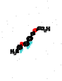 Cc1ccc(Oc2cc(F)c(F)c(-c3ccc([C@H]4C[C@@H](OCC(=O)O)C4)cc3)c2)cc1F